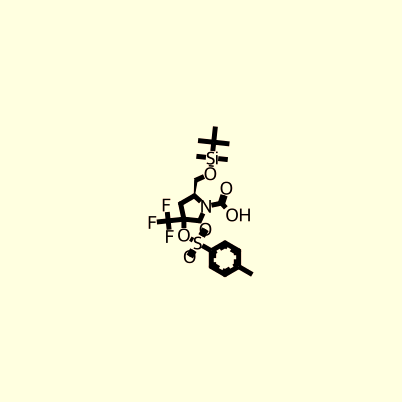 Cc1ccc(S(=O)(=O)OC2(C(F)(F)F)C[C@@H](CO[Si](C)(C)C(C)(C)C)N(C(=O)O)C2)cc1